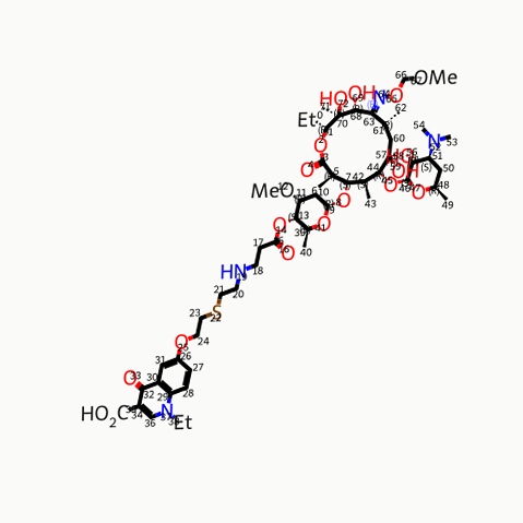 CC[C@H]1OC(=O)[C@H](C)[C@@H](O[C@H]2C[C@@H](OC)[C@@H](OC(=O)CCNCCSCCOc3ccc4c(c3)c(=O)c(C(=O)O)cn4CC)[C@H](C)O2)[C@H](C)[C@@H](O[C@@H]2O[C@H](C)C[C@H](N(C)C)[C@H]2O)[C@](C)(O)C[C@@H](C)/C(=N\OCOC)[C@@H](O)[C@]1(C)O